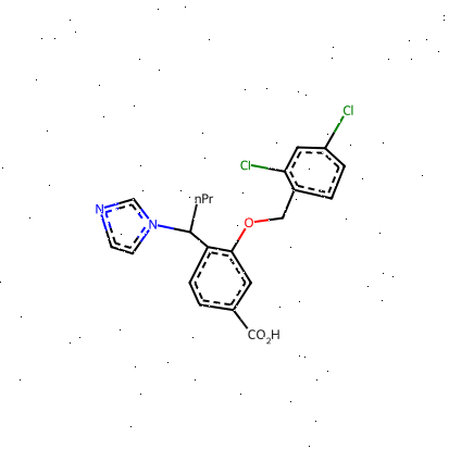 CCCC(c1ccc(C(=O)O)cc1OCc1ccc(Cl)cc1Cl)n1ccnc1